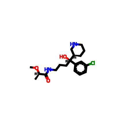 CO[C@H](C)C(=O)NCCC[C@@](O)(c1cccc(Cl)c1)[C@@H]1CCCNC1